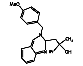 COc1ccc(CN2C=c3ccccc3=NC2CC(C)(O)C(C)C)cc1